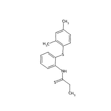 CCC(=S)Nc1ccccc1Sc1ccc(C)cc1C